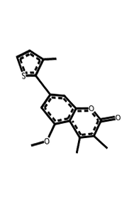 COc1cc(-c2sccc2C)cc2oc(=O)c(C)c(C)c12